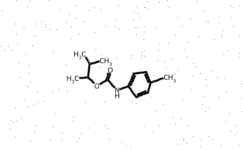 Cc1ccc(NC(=O)OC(C)C(C)C)cc1